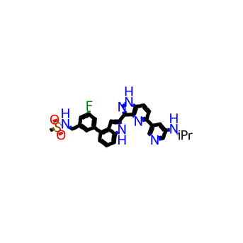 CC(C)Nc1cncc(-c2ccc3[nH]nc(-c4cc5c(-c6cc(F)cc(CNS(C)(=O)=O)c6)cccc5[nH]4)c3n2)c1